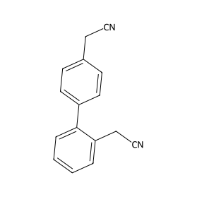 N#CCc1ccc(-c2ccccc2CC#N)cc1